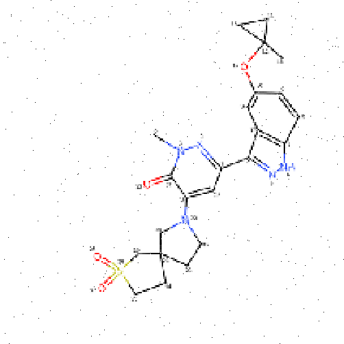 Cn1nc(-c2n[nH]c3ccc(OC4(C)CC4)cc23)cc(N2CCC3(CCS(=O)(=O)C3)C2)c1=O